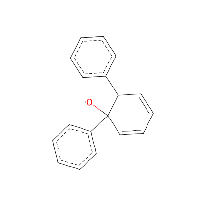 [O]C1(c2ccccc2)C=CC=CC1c1ccccc1